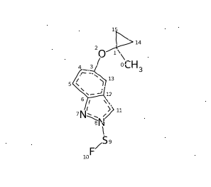 CC1(Oc2ccc3nn(SF)cc3c2)CC1